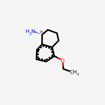 CCOc1cccc2c1CCC[C@H]2N